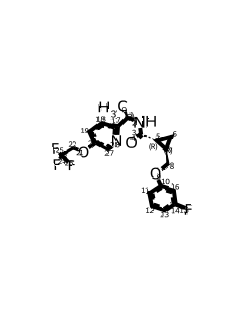 C[C@@H](NC(=O)[C@@H]1C[C@H]1COc1cccc(F)c1)c1ccc(OCC(F)(F)F)cn1